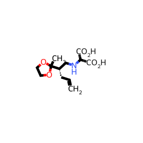 C=CC[C@@H](CNC(C(=O)O)C(=O)O)C1(C)OCCO1